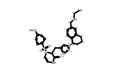 COc1ccc(S(=O)(=O)N2C=CNC(=O)C2Cc2cn([C@@H]3CCCc4cc(CNCC(C)C)ccc43)nn2)cc1